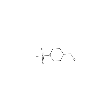 CS(=O)(=O)N1CCC(C[O])CC1